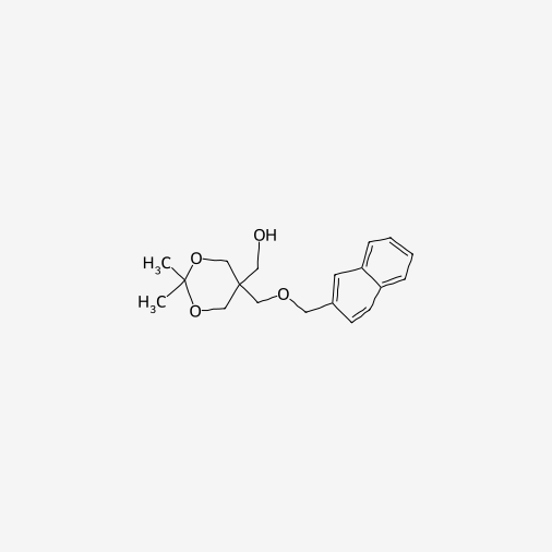 CC1(C)OCC(CO)(COCc2ccc3ccccc3c2)CO1